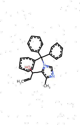 C=CC(O)c1c(C)ncn1C(c1ccccc1)(c1ccccc1)c1ccccc1